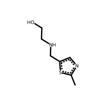 Cc1ncc(CNCCO)s1